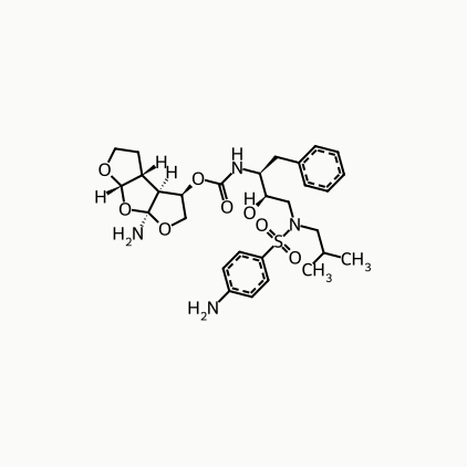 CC(C)CN(C[C@@H](O)[C@H](Cc1ccccc1)NC(=O)O[C@H]1CO[C@@]2(N)O[C@@H]3OCC[C@@H]3[C@@H]12)S(=O)(=O)c1ccc(N)cc1